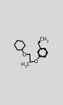 C=Cc1cccc(OC(C)COC2CCCCC2)c1